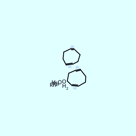 C1=C\CC/C=C\CC/1.C1=C\CC/C=C\CC/1.O.O.[Rh].[Rh]